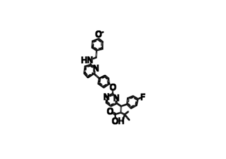 COc1ccc(CNc2cccc(-c3ccc(Oc4nccc(C(c5ccc(F)cc5)C(C(=O)O)C(C)(C)C)n4)cc3)n2)cc1